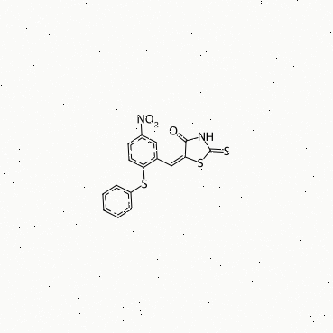 O=C1NC(=S)S/C1=C/c1cc([N+](=O)[O-])ccc1Sc1ccccc1